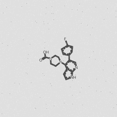 O=C(O)N1CCN(c2c(-c3ccc(F)cc3)cnc3[nH]ccc23)CC1